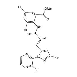 COC(=O)c1cc(Cl)cc(Br)c1NC(=S)C(F)=Cc1cc(Br)nn1-c1ncccc1Cl